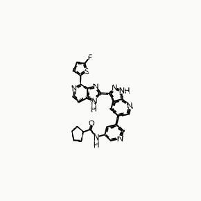 O=C(Nc1cncc(-c2cnc3[nH]nc(-c4nc5c(-c6ccc(F)s6)nccc5[nH]4)c3c2)c1)C1CCCC1